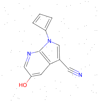 N#Cc1cn(C2=CC=C2)c2ncc(O)cc12